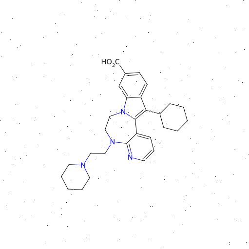 O=C(O)c1ccc2c(C3CCCCC3)c3n(c2c1)CCN(CCN1CCCCC1)c1ncccc1-3